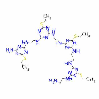 CCSc1nc(N)nc(NCCNc2nc(NCCNc3nc(NCCNc4nc(NCCN)nc(SCC)n4)nc(SCC)n3)nc(SCC)n2)n1